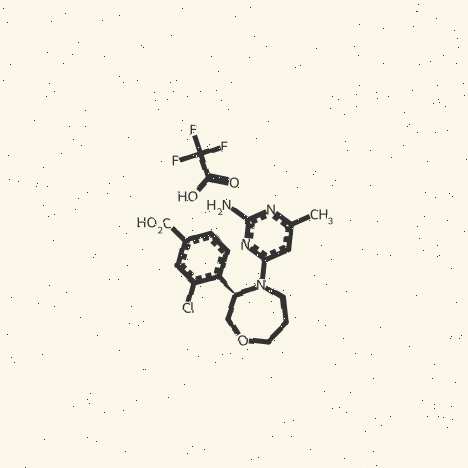 Cc1cc(N2CCCOC[C@H]2c2ccc(C(=O)O)cc2Cl)nc(N)n1.O=C(O)C(F)(F)F